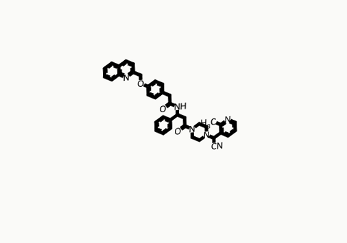 Cc1ncccc1C(C#N)N1CCN(C(=O)CC(NC(=O)Cc2ccc(OCc3ccc4ccccc4n3)cc2)c2ccccc2)CC1